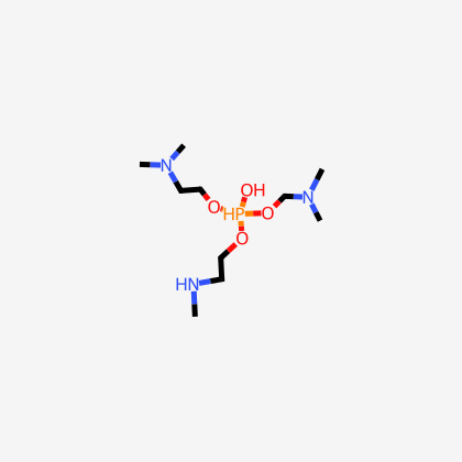 CNCCO[PH](O)(OCCN(C)C)OCN(C)C